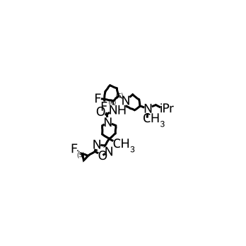 CC(C)CN(C)C1CCN([C@H]2CCCC(F)(F)[C@@H]2NC(=O)N2CCC(C)(c3noc(C4C[C@@H]4F)n3)CC2)CC1